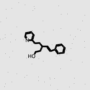 OCCC(C=Cc1ccccc1)C[CH]c1ccccn1